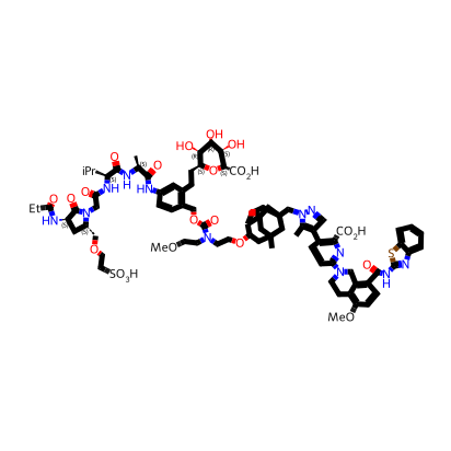 CCC(=O)N[C@H]1C[C@@H](COCCS(=O)(=O)O)N(CC(=O)N[C@H](C(=O)N[C@@H](C)C(=O)Nc2ccc(COC(=O)N(CCOC)CCOC3CC4(C)CC5(Cn6ncc(-c7ccc(N8CCc9c(OC)ccc(C(=O)Nc%10nc%11ccccc%11s%10)c9C8)nc7C(=O)O)c6C)CCC3C(C)(C4)C5)c(CC[C@@H]3O[C@H](C(=O)O)[C@@H](O)[C@H](O)[C@H]3O)c2)C(C)C)C1=O